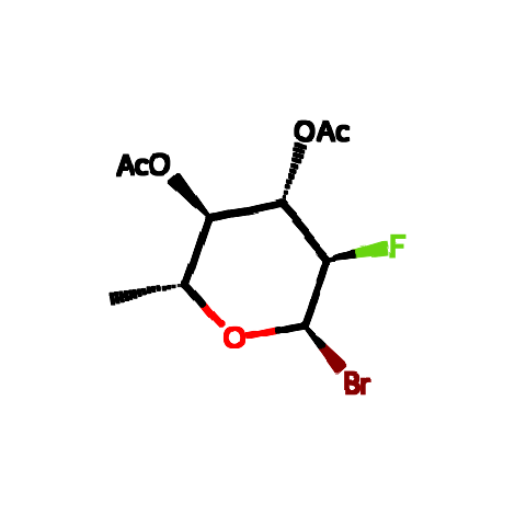 CC(=O)O[C@@H]1[C@@H](F)[C@@H](Br)O[C@H](C)[C@H]1OC(C)=O